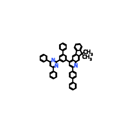 CC1(C)c2ccccc2-c2cc3c(-c4cc(-c5ccccc5)cc(-c5nc(-c6ccccc6)cc(-c6ccccc6)n5)c4)cc(-c4ccc(-c5ccccc5)cc4)nc3cc21